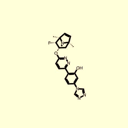 CN1[C@@]2(C)C=C[C@]1(C)[C@@H](F)[C@@H](Oc1ccc(-c3ccc(-n4cnnc4)cc3O)nn1)C2